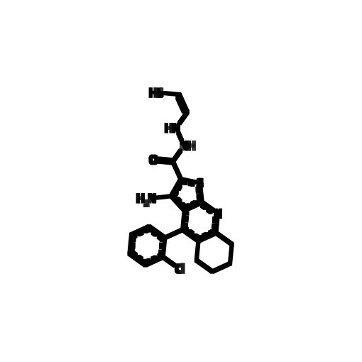 Nc1c(C(=O)NN/C=C\S)sc2nc3c(c(-c4ccccc4Cl)c12)CCCC3